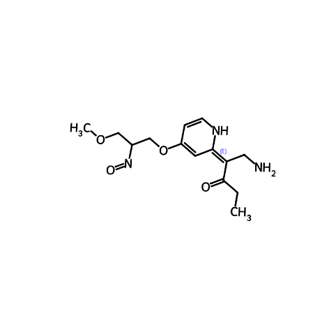 CCC(=O)/C(CN)=C1\C=C(OCC(COC)N=O)C=CN1